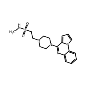 CNS(=O)(=O)CCN1CCN(c2nc3ccccc3n3cccc23)CC1